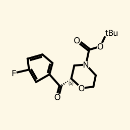 CC(C)(C)OC(=O)N1CCO[C@H](C(=O)c2cccc(F)c2)C1